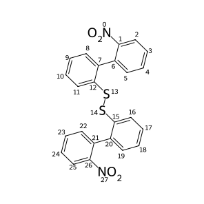 O=[N+]([O-])c1ccccc1-c1ccccc1SSc1ccccc1-c1ccccc1[N+](=O)[O-]